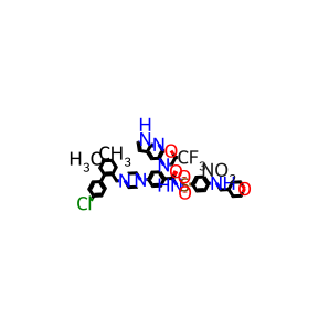 CC1(C)CCC(CN2CCN(c3ccc(C(=O)NS(=O)(=O)c4ccc(NCC5CCOCC5)c([N+](=O)[O-])c4)c(N4CC(C(F)(F)F)Oc5nc6[nH]ccc6cc54)c3)CC2)=C(c2ccc(Cl)cc2)C1